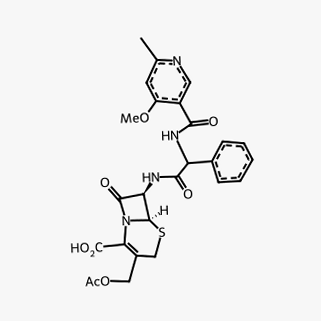 COc1cc(C)ncc1C(=O)NC(C(=O)N[C@@H]1C(=O)N2C(C(=O)O)=C(COC(C)=O)CS[C@H]12)c1ccccc1